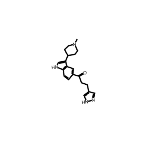 CN1CCC(c2c[nH]c3ccc(C(=O)CCc4cn[nH]c4)cc23)CC1